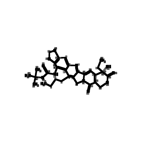 CCCCc1c2c(nc3cc4c(c(NC(=O)OC(C)(C)C)c13)OCO4)-c1cc3c(c(=O)n1C2)COC(=O)[C@]3(O)CC